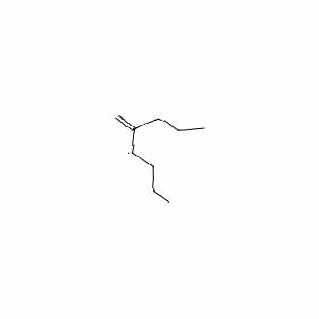 C=C([CH]CCC)CCC